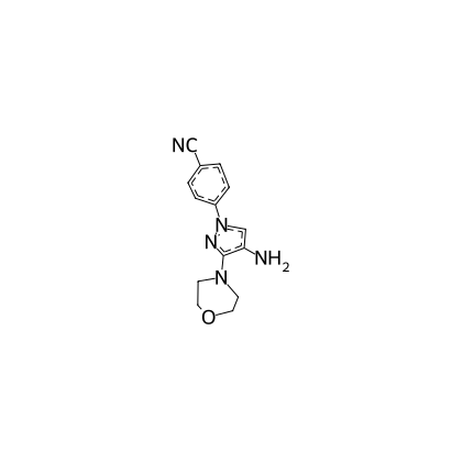 N#Cc1ccc(-n2cc(N)c(N3CCOCC3)n2)cc1